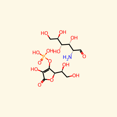 N[C@@H](C=O)[C@@H](O)[C@H](O)[C@H](O)CO.O=C1O[C@H]([C@@H](O)CO)C(OP(=O)(O)O)=C1O